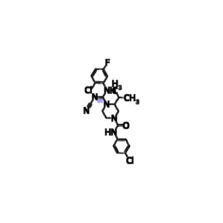 CC(C)C1CN(C(=O)Nc2ccc(Cl)cc2)CCN1/C(=N\C#N)Nc1cc(F)ccc1Cl